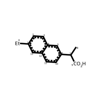 CCc1ccc2cc(C(C)C(=O)O)ccc2c1